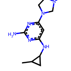 CC1CC1Nc1cc(N2CCN(C)C2)nc(N)n1